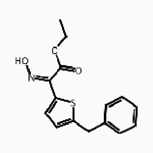 CCOC(=O)C(=NO)c1ccc(Cc2ccccc2)s1